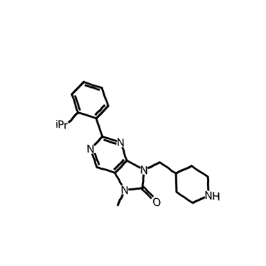 CC(C)c1ccccc1-c1ncc2c(n1)n(CC1CCNCC1)c(=O)n2C